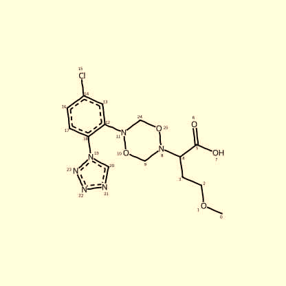 COCCC(C(=O)O)N1CON(c2cc(Cl)ccc2-n2cnnn2)CO1